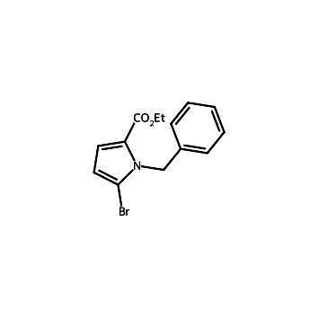 CCOC(=O)c1ccc(Br)n1Cc1ccccc1